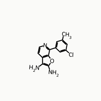 Cc1cc(Cl)cc(-c2nccc3c(N)c(N)oc23)c1